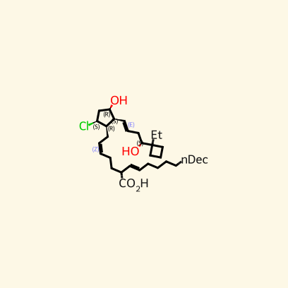 CCCCCCCCCCCCCCC=CC(CC/C=C\C[C@@H]1[C@H](/C=C/C[C@H](O)C2(CC)CCC2)[C@H](O)C[C@@H]1Cl)C(=O)O